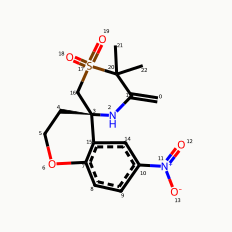 C=C1N[C@@]2(CCOc3ccc([N+](=O)[O-])cc32)CS(=O)(=O)C1(C)C